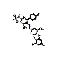 Cc1cc(F)c(OC2C[C@H](O)C[C@@H](/C=C/c3c(-c4ccc(F)cc4)nc(N(C)S(C)(=O)=O)nc3C(C)C)O2)c(F)c1